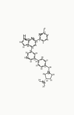 Cc1cccc(-c2cc(-c3cncc(-c4ccc(CN5CC[C@H](N(C)C)C5)cc4)c3)c3cc[nH]c3n2)n1